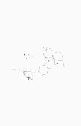 CSc1ncc2ccc(=O)n(Cc3ccc(-c4ncc(Br)o4)cc3)c2n1